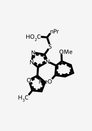 CCCC(Sc1nnc(-c2ccc(C)o2)n1-c1c(OC)cccc1OC)C(=O)O